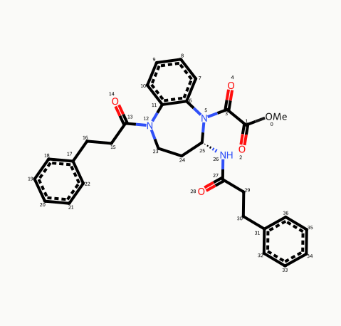 COC(=O)C(=O)N1c2ccccc2N(C(=O)CCc2ccccc2)CC[C@H]1NC(=O)CCc1ccccc1